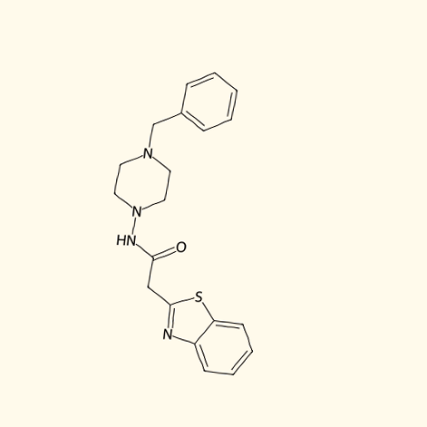 O=C(Cc1nc2ccccc2s1)NN1CCN(Cc2ccccc2)CC1